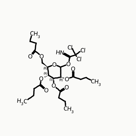 CCCC(=O)OC[C@H]1OC(OC(=N)C(Cl)(Cl)Cl)[C@H](OC(=O)CCC)[C@@H](OC(=O)CCC)[C@@H]1OC(=O)CCC